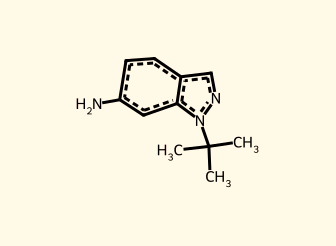 CC(C)(C)n1ncc2ccc(N)cc21